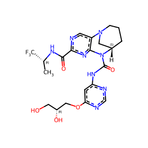 C[C@@H](NC(=O)c1ncc2c(n1)N(C(=O)Nc1cc(OC[C@H](O)CO)ncn1)[C@H]1CCCN2C1)C(F)(F)F